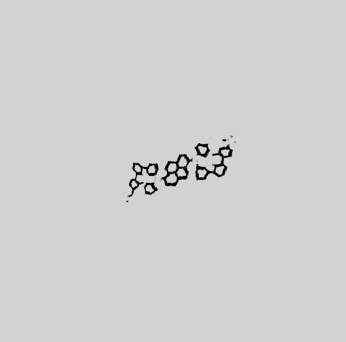 Cc1cc(C[SiH](C)C)ccc1-c1cccc2c1oc1c(N(c3ccc(F)cc3)c3ccc4ccc5c(N(c6ccc(F)cc6)c6cccc7c6oc6c(-c8ccc([Si](C)(C)C)cc8C)cccc67)ccc6ccc3c4c65)cccc12